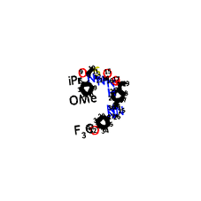 COc1ccc(C(C)C)c(N2C(=O)CS/C2=N\C(=O)NOC(C)c2ccc(-c3ncn(-c4ccc(OC(F)(F)F)cc4)n3)cc2)c1